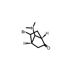 CN(C)C1[C@@H]2CC(=O)[C@H]1CC2Br